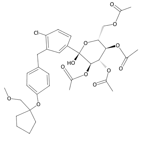 COCC1(Oc2ccc(Cc3cc([C@]4(O)O[C@H](COC(C)=O)[C@@H](OC(C)=O)[C@H](OC(C)=O)[C@H]4OC(C)=O)ccc3Cl)cc2)CCCC1